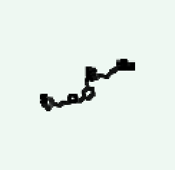 CCN(CCCC#CC(C)(C)C)Cc1cccc(COC/C=C/c2ccsc2)c1